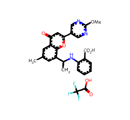 COc1ncc(-c2cc(=O)c3cc(C)cc(C(C)Nc4ccccc4C(=O)O)c3o2)cn1.O=C(O)C(F)(F)F